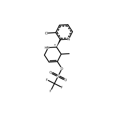 CC1C(OS(=O)(=O)C(F)(F)F)=CCN[C@H]1c1ncccc1Cl